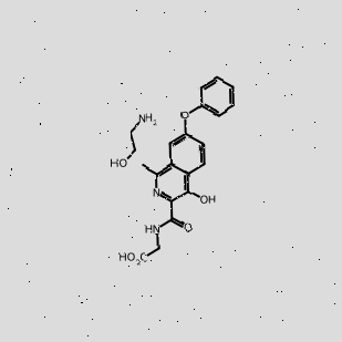 Cc1nc(C(=O)NCC(=O)O)c(O)c2ccc(Oc3ccccc3)cc12.NCCO